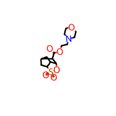 O=C(OCCN1CCOCC1)C1C2CC3C1OS(=O)(=O)C3C2